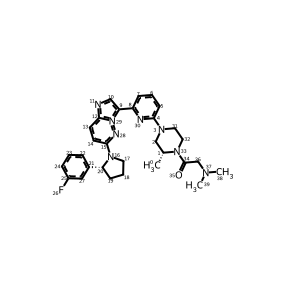 C[C@@H]1CN(c2cccc(-c3cnc4ccc(N5CCC[C@@H]5c5cccc(F)c5)nn34)n2)CCN1C(=O)CN(C)C